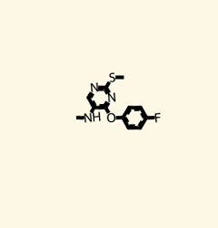 CNc1cnc(SC)nc1Oc1ccc(F)cc1